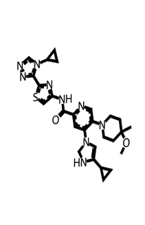 COC1(C)CCN(c2cnc(C(=O)Nc3csc(-c4nncn4C4CC4)n3)cc2N2C=C(C3CC3)NC2)CC1